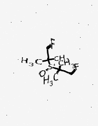 CC(C)(CF)[S+]([O-])C(C)(C)CF